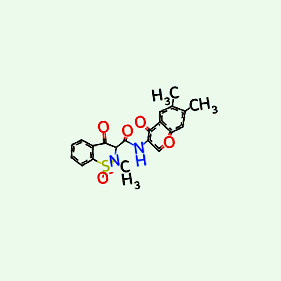 Cc1cc2occ(NC(=O)C3C(=O)c4ccccc4[S+]([O-])N3C)c(=O)c2cc1C